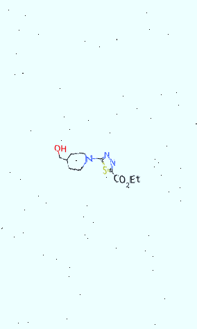 CCOC(=O)c1nnc(N2CCC(CO)CC2)s1